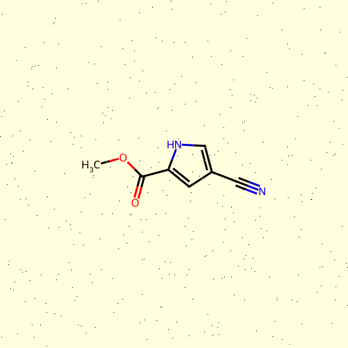 COC(=O)c1cc(C#N)c[nH]1